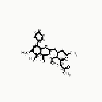 CCCC(CC1CC(=O)c2c(C)c(C)cc(-c3ccccc3)c2C1)C(CC)C(=O)CC(C)=O